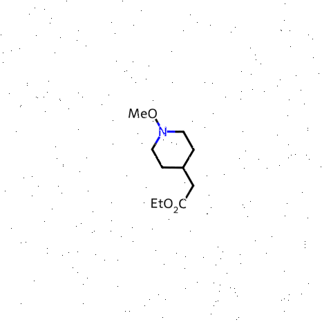 CCOC(=O)CC1CCN(OC)CC1